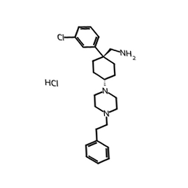 Cl.NC[C@]1(c2cccc(Cl)c2)CC[C@@H](N2CCN(CCc3ccccc3)CC2)CC1